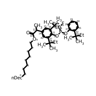 CCCCCCCCCCCCCCCCCCOC(=O)C(C)c1cc(C(C)(C)CC)c(OP(OF)Oc2ccccc2C(C)(C)CC)c(C(C)(C)CC)c1